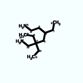 CCC(CCN)CC(CC)(CC)CN